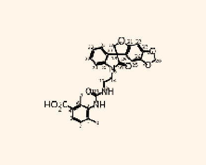 Cc1ccc(C(=O)O)c(C)c1NC(=O)NCCN1C(=O)C2(COc3cc4c(cc32)OCO4)c2ccccc21